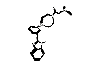 CN(C)CC(=O)N1CCN(c2cccc(-c3nc4ccccc4n3C)c2)CC1